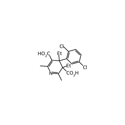 CCC1(C(=O)O)C(C)=NC(C)=C(C(=O)O)C1(CC)c1cc(Cl)ccc1Cl